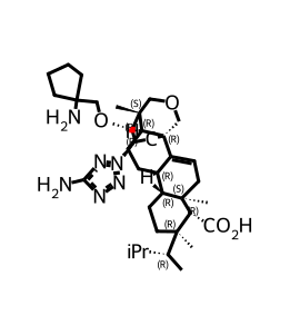 CC(C)[C@@H](C)[C@@]1(C)CC[C@]2(C)[C@H]3CC[C@@H]4[C@@]5(COC[C@@]4(C)[C@@H](OCC4(N)CCCC4)[C@H](n4nnc(N)n4)C5)C3=CC[C@@]2(C)[C@@H]1C(=O)O